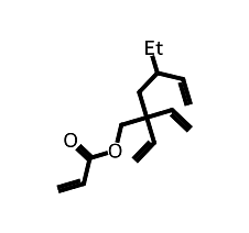 C=CC(=O)OCC(C=C)(C=C)CC(C=C)CC